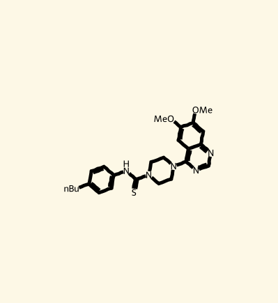 CCCCc1ccc(NC(=S)N2CCN(c3ncnc4cc(OC)c(OC)cc34)CC2)cc1